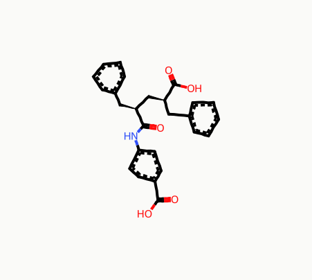 O=C(O)c1ccc(NC(=O)[C@@H](Cc2ccccc2)C[C@H](Cc2ccccc2)C(=O)O)cc1